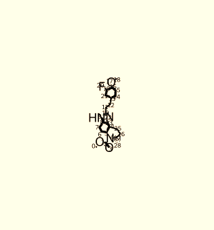 COC(=O)N1c2ccc3[nH]c(CCc4ccc(OC)c(F)c4)nc3c2CC[C@@H]1C